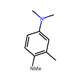 CNc1ccc(N(C)C)cc1C